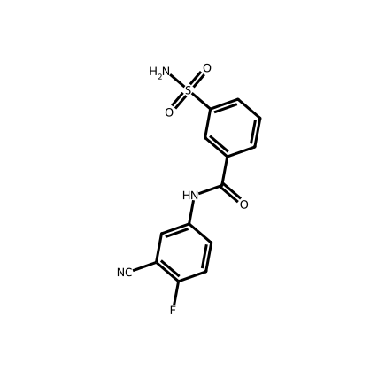 N#Cc1cc(NC(=O)c2cccc(S(N)(=O)=O)c2)ccc1F